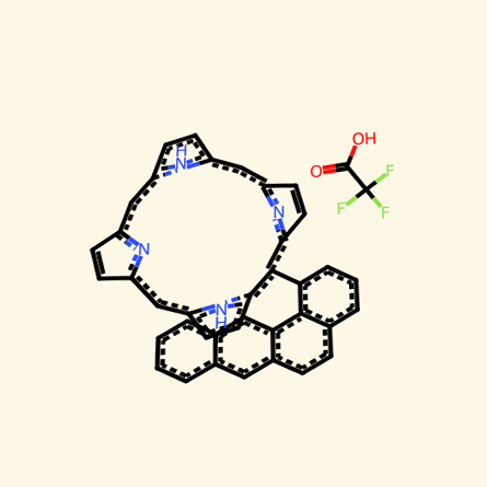 C1=Cc2cc3ccc([nH]3)c(-c3cccc4ccc5cc6ccccc6cc5c34)c3nc(cc4ccc(cc1n2)[nH]4)C=C3.O=C(O)C(F)(F)F